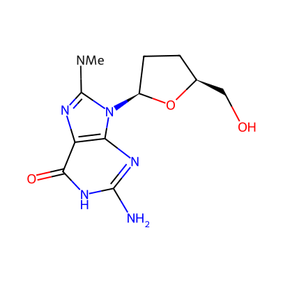 CNc1nc2c(=O)[nH]c(N)nc2n1[C@H]1CC[C@@H](CO)O1